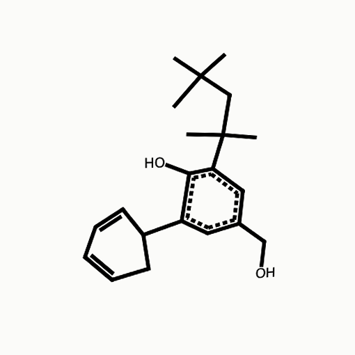 CC(C)(C)CC(C)(C)c1cc(CO)cc(C2C=CC=CC2)c1O